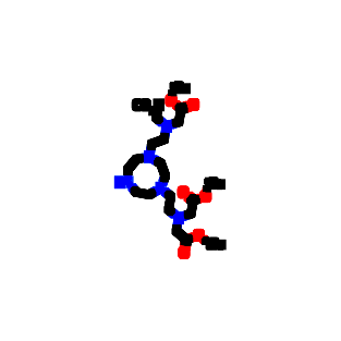 CC(C)(C)OC(=O)CN(CCN1CCNCCN(CCN(CC(=O)OC(C)(C)C)CC(=O)OC(C)(C)C)CC1)CC(=O)O